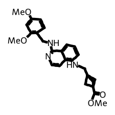 COC(=O)C12CC(CNc3cccc4c(NCc5ccc(OC)cc5OC)nccc34)(C1)C2